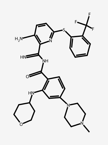 CN1CCN(c2ccc(C(=O)NC(=N)c3nc(Sc4ccccc4C(F)(F)F)ccc3N)c(NC3CCOCC3)c2)CC1